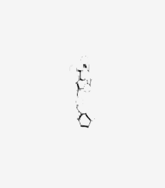 O=NC(=O)c1cc(COCc2ccccc2)on1